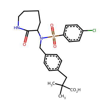 CC(C)(Cc1ccc(CN(C2CCCCNC2=O)S(=O)(=O)c2ccc(Cl)cc2)cc1)C(=O)O